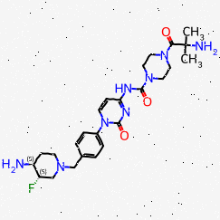 CC(C)(N)C(=O)N1CCN(C(=O)Nc2ccn(-c3ccc(CN4CC[C@H](N)[C@@H](F)C4)cc3)c(=O)n2)CC1